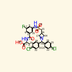 CC(NC(=O)c1cc(F)cc(NS(=O)(=O)CC2CN(C(c3ccc(Cl)cc3)c3ccc(Cl)cc3)C2)c1)C(=O)O